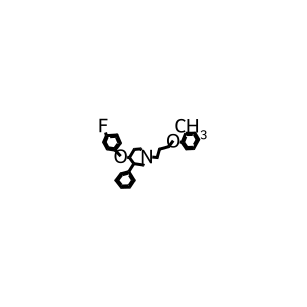 Cc1ccccc1OCCCN1CCC(Oc2ccc(F)cc2)C(c2ccccc2)C1